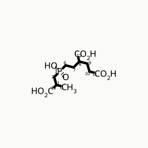 CC(CP(=O)(O)CCC(CCC(=O)O)C(=O)O)C(=O)O